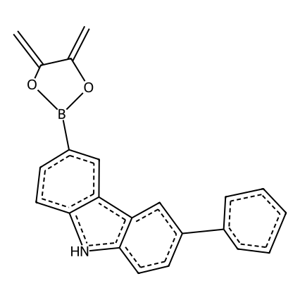 C=C1OB(c2ccc3[nH]c4ccc(-c5ccccc5)cc4c3c2)OC1=C